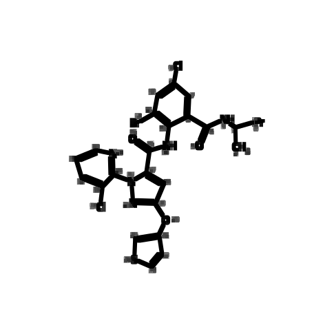 CC(C)C(C)NC(=O)c1cc(Cl)cc(Br)c1NC(=O)c1cc(Oc2ccsc2)nn1-c1ncccc1Cl